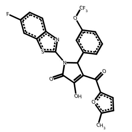 Cc1ccc(C(=O)C2=C(O)C(=O)N(c3nc4ccc(F)cc4s3)C2c2cccc(OC(F)(F)F)c2)o1